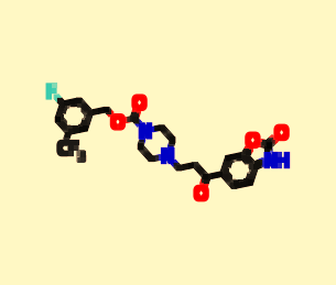 O=C(CCN1CCN(C(=O)OCc2cc(F)cc(C(F)(F)F)c2)CC1)c1ccc2[nH]c(=O)oc2c1